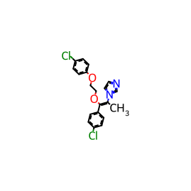 CC(=C(OCCOc1ccc(Cl)cc1)c1ccc(Cl)cc1)n1ccnc1